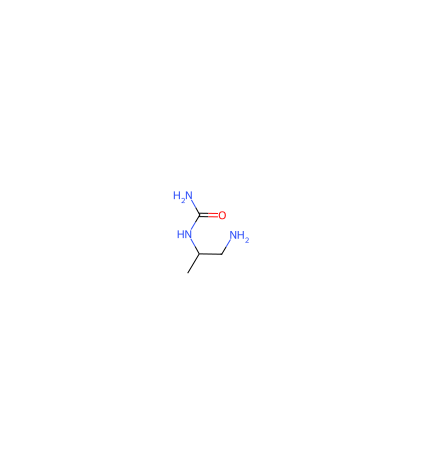 CC(CN)NC(N)=O